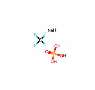 F[B-](F)(F)F.O=P(O)(O)O.[NaH]